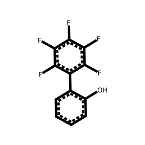 Oc1ccccc1-c1c(F)c(F)c(F)c(F)c1F